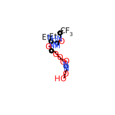 CCN(CC)c1ccc(NC(=O)c2cccc(COCCOCCOC(=O)N3CCN(CCOCCO)CC3)c2)c(-c2cc(C(=O)NCc3cccc(C(F)(F)F)c3)ccn2)c1